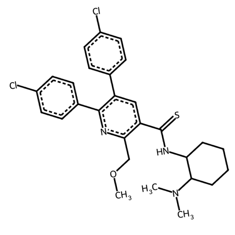 COCc1nc(-c2ccc(Cl)cc2)c(-c2ccc(Cl)cc2)cc1C(=S)NC1CCCCC1N(C)C